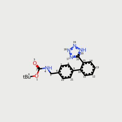 CC(C)(C)OC(=O)NCc1ccc(-c2ccccc2-c2nnn[nH]2)cc1